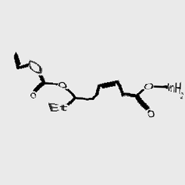 C=COC(=O)OC(CC)C/C=C\CC(=O)[O][InH2]